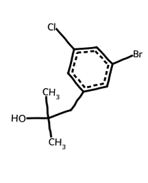 CC(C)(O)Cc1cc(Cl)cc(Br)c1